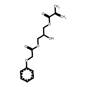 C=C(C)C(=O)OCC(O)COC(=O)COc1ccccc1